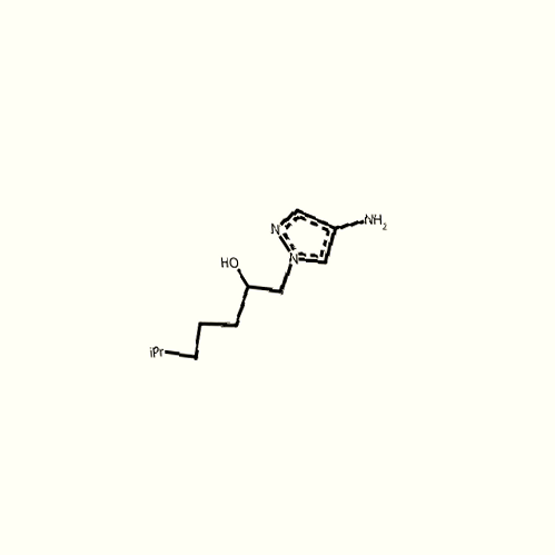 CC(C)CCCC(O)Cn1cc(N)cn1